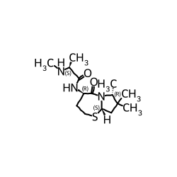 CN[C@@H](C)C(=O)N[C@@H]1CCS[C@H]2CC(C)(C)[C@@H](C)N2C1=O